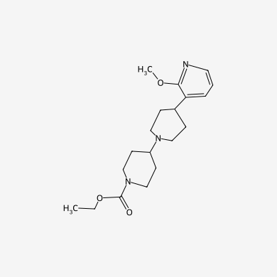 CCOC(=O)N1CCC(N2CCC(c3cccnc3OC)CC2)CC1